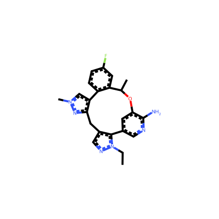 CCn1ncc2c1-c1cnc(N)c(c1)OC(C)c1cc(F)ccc1-c1cn(C)nc1C2